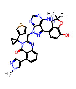 Cn1cc(-c2cccc3nc(Cn4nc(-c5ccc(O)c6c5CC(C)(C)O6)c5c(N)ncnc54)n(C4(c5ccsc5)CC4)c(=O)c23)cn1